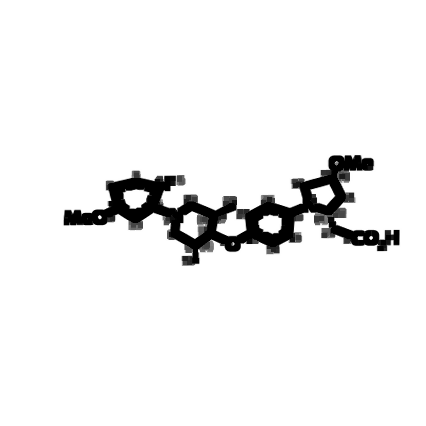 COc1ccc(F)c(N2C[C@@H](C)C(Oc3ccc(N4C[C@H](OC)C[C@@H]4CC(=O)O)cc3)[C@H](C)C2)c1